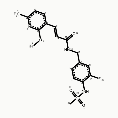 CC(C)Oc1nc(C(F)(F)F)ccc1/C=C/C(=O)NCc1ccc(NS(C)(=O)=O)c(F)c1